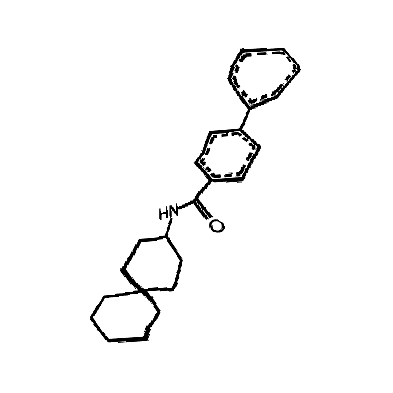 O=C(NC1CCC2(CCCCC2)CC1)c1ccc(-c2ccccc2)cc1